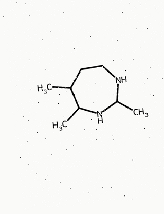 CC1NCCC(C)C(C)N1